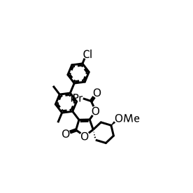 CO[C@H]1CCC[C@]2(C1)OC(=O)C(c1cc(-c3ccc(Cl)cc3)c(C)cc1C)=C2OC(=O)C(C)C